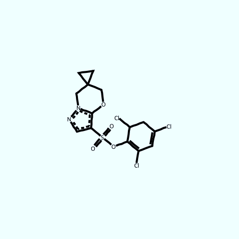 O=S(=O)(OC1=C(Cl)C=C(Cl)CC1Cl)c1cnn2c1OCC1(CC1)C2